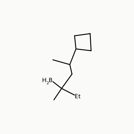 BC(C)(CC)CC(C)C1CCC1